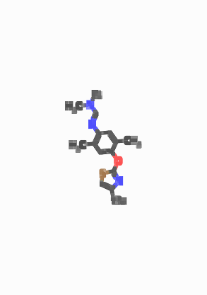 CCN(C)/C=N/c1cc(C)c(Oc2nc(C(C)(C)C)cs2)cc1C